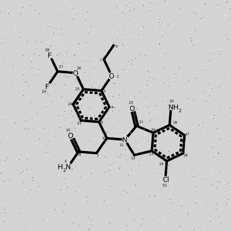 CCOc1cc(C(CC(N)=O)N2Cc3c(Cl)ccc(N)c3C2=O)ccc1OC(F)F